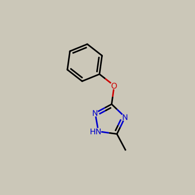 Cc1nc(Oc2ccccc2)n[nH]1